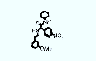 COc1cccc(CCNC(C(=O)NC2CCCCC2)c2ccc([N+](=O)[O-])cc2)c1